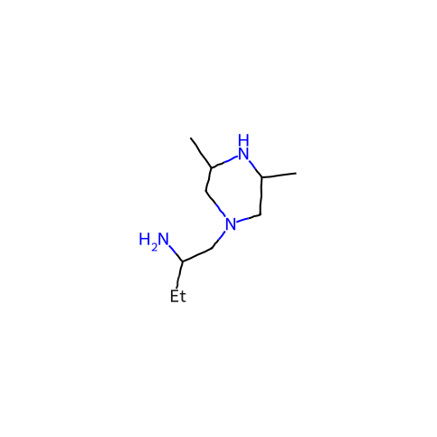 CCC(N)CN1CC(C)NC(C)C1